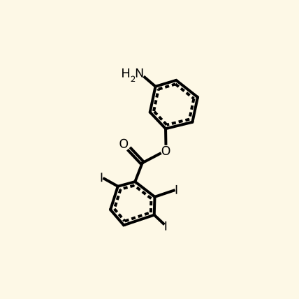 Nc1cccc(OC(=O)c2c(I)ccc(I)c2I)c1